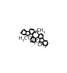 CN1c2ccc3c(c2-c2ccccc2-c2c1ccc1c2C(C)(C)c2ccccc2-1)C(C)(C)c1ccccc1-3